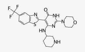 O=c1[nH]c(N2CCOCC2)nc(NC2CCCNC2)c1-c1nc2cc(C(F)(F)F)ccc2s1